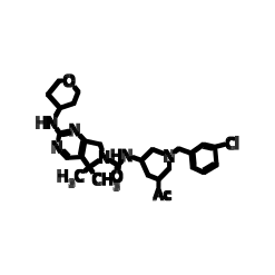 CC(=O)C1CC(NC(=O)N2Cc3nc(NC4CCOCC4)ncc3C2(C)C)CN(Cc2cccc(Cl)c2)C1